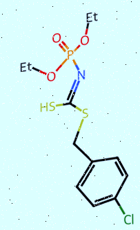 CCOP(=O)(N=C(S)SCc1ccc(Cl)cc1)OCC